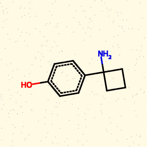 NC1(c2ccc(O)cc2)CCC1